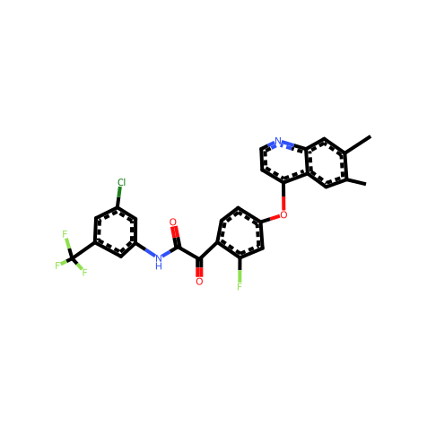 Cc1cc2nccc(Oc3ccc(C(=O)C(=O)Nc4cc(Cl)cc(C(F)(F)F)c4)c(F)c3)c2cc1C